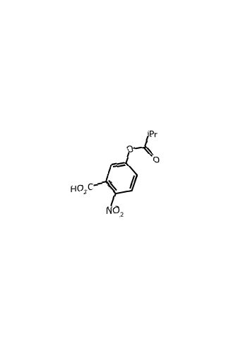 CC(C)C(=O)Oc1ccc([N+](=O)[O-])c(C(=O)O)c1